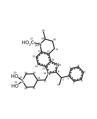 CC(c1ccccc1)c1nc2c3c(ccc2n1CC1CCS(O)(O)CC1)N(C(=O)O)C(C)CC3